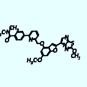 COc1cc(OCc2cccc(-c3ccc(C(=O)N(C)C)cc3)n2)c2cc(-c3cnc4sc(OC)nn34)oc2c1